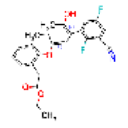 CCOC(=O)Cc1ccccc1O/C(=C/C(=C(\C)O)c1cc(F)cc(C#N)c1F)CC